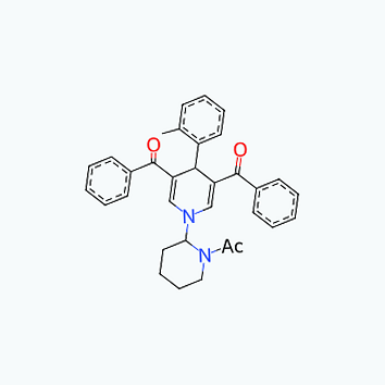 CC(=O)N1CCCCC1N1C=C(C(=O)c2ccccc2)C(c2ccccc2C)C(C(=O)c2ccccc2)=C1